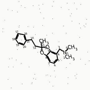 CN(C)Cc1cccc2c1OC(C)(CCc1ccccc1)O2